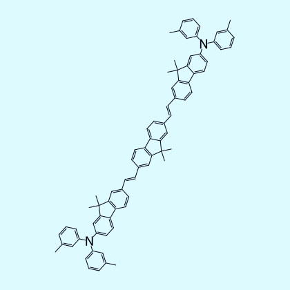 Cc1cccc(N(c2cccc(C)c2)c2ccc3c(c2)C(C)(C)c2cc(/C=C/c4ccc5c(c4)C(C)(C)c4cc(/C=C/c6ccc7c(c6)C(C)(C)c6cc(N(c8cccc(C)c8)c8cccc(C)c8)ccc6-7)ccc4-5)ccc2-3)c1